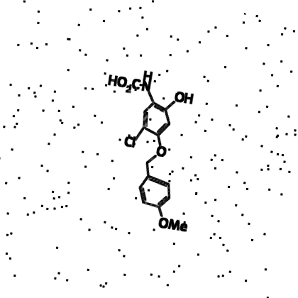 COc1ccc(COc2cc(O)c(NC(=O)O)cc2Cl)cc1